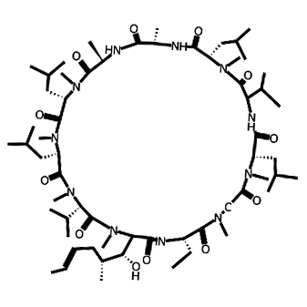 C/C=C/C[C@@H](C)[C@@H](O)C1C(=O)N[C@@H](CC)C(=O)N(C)CC(=O)N(C)[C@@H](CC(C)C)C(=O)NC(C(C)C)C(=O)N(C)[C@@H](CC(C)C)C(=O)N[C@@H](C)C(=O)N[C@H](C)C(=O)N(C)[C@@H](CC(C)C)C(=O)N(C)[C@@H](CC(C)C)C(=O)N(C)[C@@H](C(C)C)C(=O)N1C